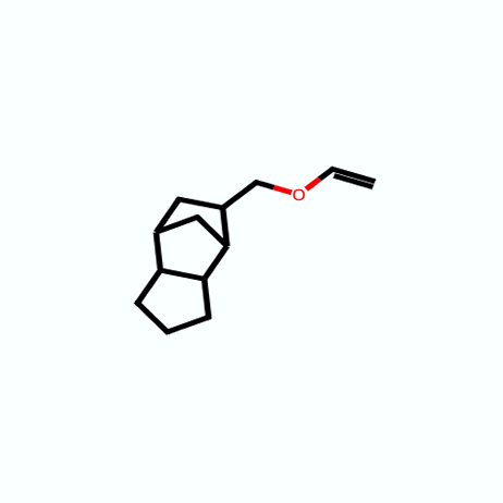 C=COCC1CC2CC1C1CCCC21